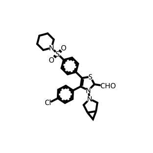 O=CC1SC(c2ccc(S(=O)(=O)N3CCCCC3)cc2)=C(c2ccc(Cl)cc2)N1N1CC2CC2C1